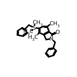 Cc1cc(S(C)(C)Cc2ccccc2)c(C)c2c1C(=O)N(Cc1ccccc1)C2